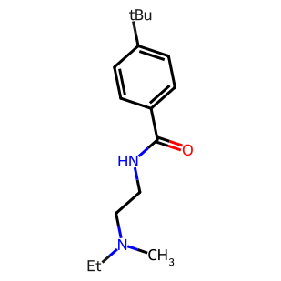 CCN(C)CCNC(=O)c1ccc(C(C)(C)C)cc1